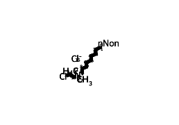 CCCCCCCCCCCCCCCCCC[N+](C)(C)CCCl.[Cl-]